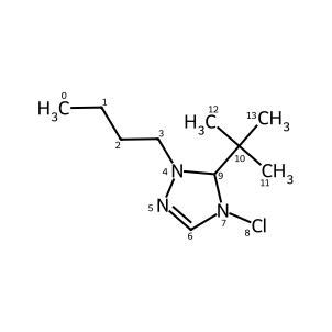 CCCCN1N=CN(Cl)C1C(C)(C)C